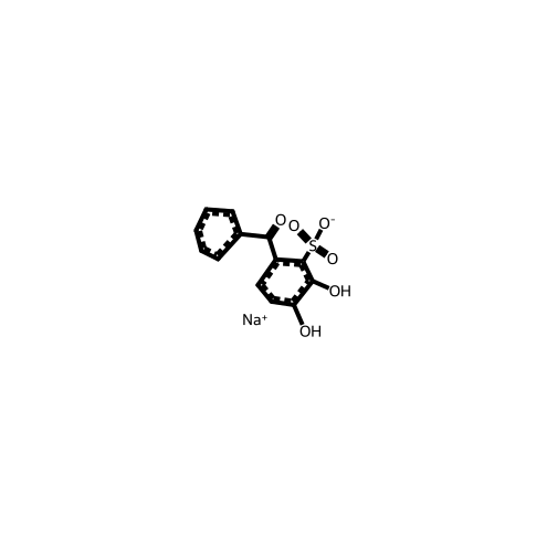 O=C(c1ccccc1)c1ccc(O)c(O)c1S(=O)(=O)[O-].[Na+]